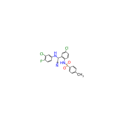 Cc1ccc(S(=O)(=O)Nc2ccc(Cl)cc2C(C#N)Nc2ccc(F)c(Cl)c2)cc1